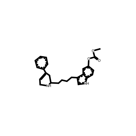 COC(=O)Oc1ccc2[nH]cc(CCCCC3CC(c4ccccc4)=CCN3)c2c1